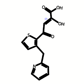 O=C(O)/C(O)=C/C(=O)c1sccc1Cc1ccccn1